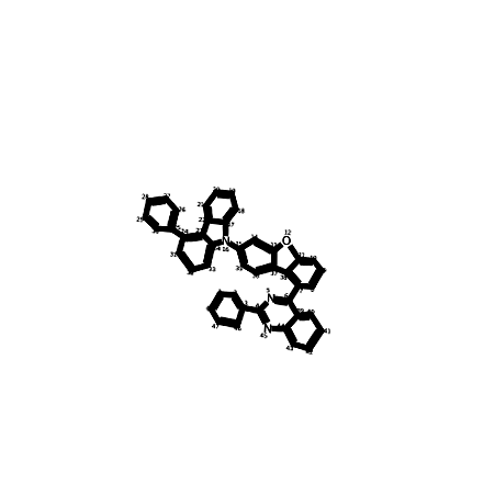 c1ccc(-c2nc(-c3cccc4oc5cc(-n6c7ccccc7c7c(-c8ccccc8)cccc76)ccc5c34)c3ccccc3n2)cc1